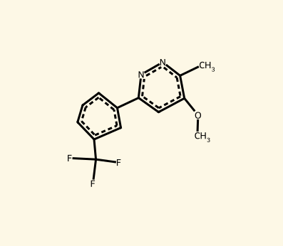 COc1cc(-c2cccc(C(F)(F)F)c2)nnc1C